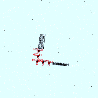 O=C(O)O.O=C(O)O.O=C(O)O.O=C(O)O.O=C(O)O.[NaH].[NaH].[NaH].[NaH].[NaH].[NaH].[NaH].[NaH].[NaH].[NaH].[NaH].[NaH].[NaH].[NaH].[NaH].[NaH].[NaH]